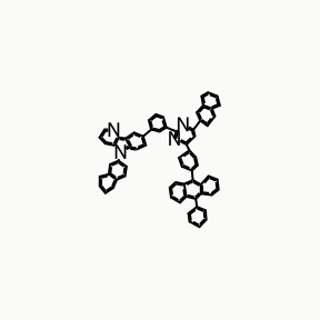 c1ccc(-c2c3ccccc3c(-c3ccc(-c4cc(-c5ccc6ccccc6c5)nc(-c5cccc(-c6ccc7c(c6)c6ncccc6n7-c6ccc7ccccc7c6)c5)n4)cc3)c3ccccc23)cc1